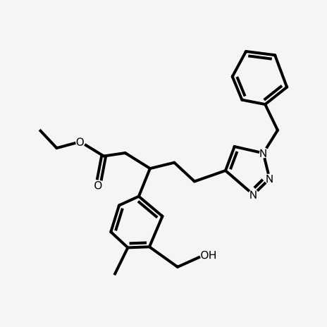 CCOC(=O)CC(CCc1cn(Cc2ccccc2)nn1)c1ccc(C)c(CO)c1